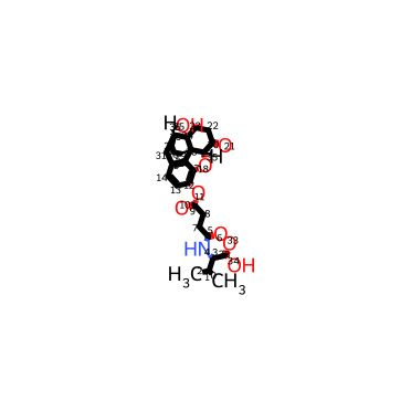 CC(C)C(NC(=O)CCC(=O)Oc1ccc2c3c1O[C@H]1C(=O)CC[C@@]4(O)[C@H](CCC[C@]314)C2)C(=O)O